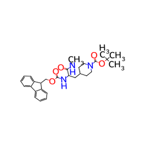 CNC(=O)C(CC1CCN(C(=O)OC(C)(C)C)CC1)NC(=O)OCC1c2ccccc2-c2ccccc21